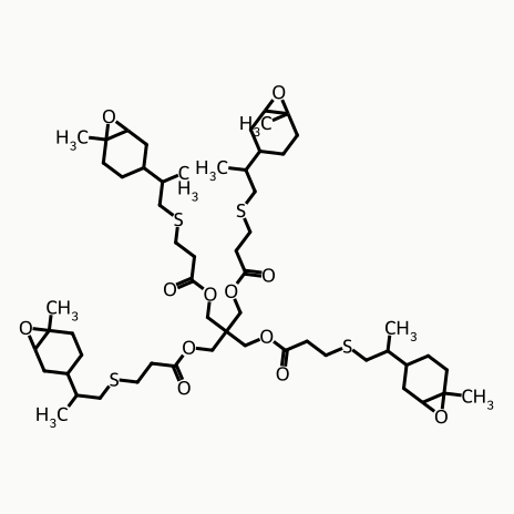 CC(CSCCC(=O)OCC(COC(=O)CCSCC(C)C1CCC2(C)OC2C1)(COC(=O)CCSCC(C)C1CCC2(C)OC2C1)COC(=O)CCSCC(C)C1CCC2(C)OC2C1)C1CCC2(C)OC2C1